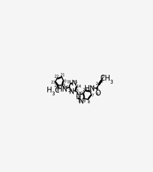 CC#CC(=O)Nc1ccc2ncn(-c3cncc(Nc4ccccc4C)n3)c2c1